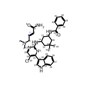 CN(C)C/C=C/C(N)=O.O=C(NC1CC(Nc2ncc(Cl)c(-c3c[nH]c4ccccc34)n2)CC(F)(F)C1)c1ccccc1